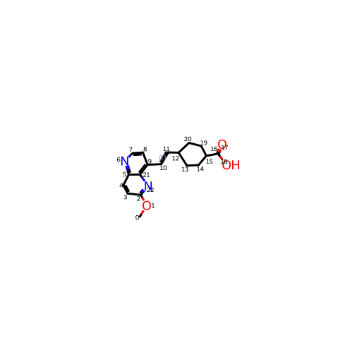 COc1ccc2nccc(/C=C/C3CCC(C(=O)O)CC3)c2n1